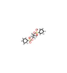 C[Si](C)(OS(=O)(=O)c1ccccc1)[Si](C)(C)OS(=O)(=O)c1ccccc1